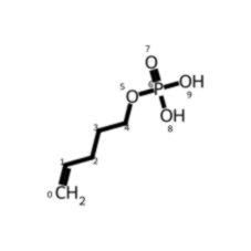 C=CCCCOP(=O)(O)O